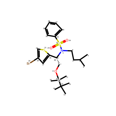 CC(C)CCN([C@H](CO[Si](C)(C)C(C)(C)C)c1cc(Br)cs1)S(=O)(=O)c1ccccc1